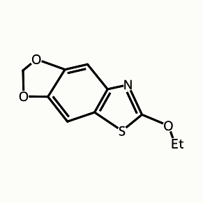 CCOc1nc2cc3c(cc2s1)OCO3